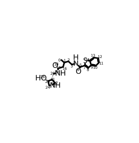 CC(CCNC(=O)c1cc2ccccc2s1)CC(=O)NC[C@@H]1CNC[C@@H]1O